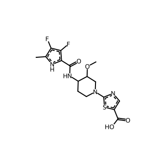 COC1CN(c2ncc(C(=O)O)s2)CCC1NC(=O)c1[nH]c(C)c(F)c1F